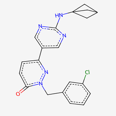 O=c1ccc(-c2cnc(NC34CC(C3)C4)nc2)nn1Cc1cccc(Cl)c1